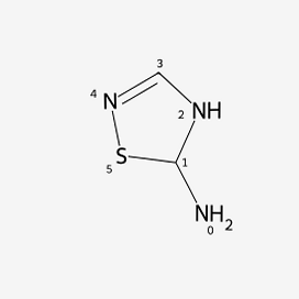 NC1NC=NS1